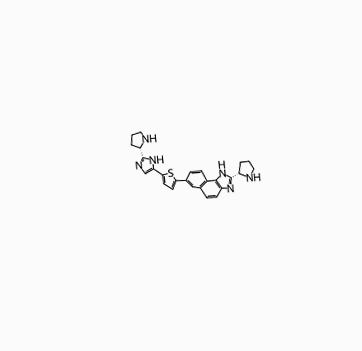 c1cc2c(ccc3nc([C@@H]4CCCN4)[nH]c32)cc1-c1ccc(-c2cnc([C@@H]3CCCN3)[nH]2)s1